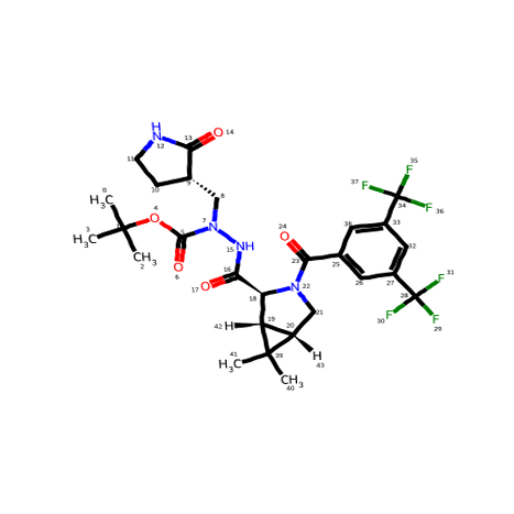 CC(C)(C)OC(=O)N(C[C@@H]1CCNC1=O)NC(=O)[C@@H]1[C@@H]2[C@H](CN1C(=O)c1cc(C(F)(F)F)cc(C(F)(F)F)c1)C2(C)C